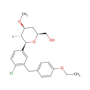 CCOc1ccc(Cc2cc([C@@H]3O[C@H](CO)C[C@H](OC)[C@H]3I)ccc2Cl)cc1